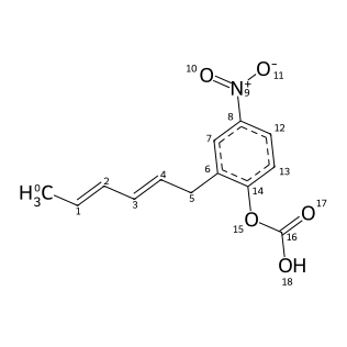 CC=CC=CCc1cc([N+](=O)[O-])ccc1OC(=O)O